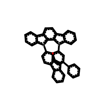 c1ccc(-c2cccc(-n3c4ccccc4c4ccc5c6ccccc6n(-c6ccc7c(c6)sc6ccccc67)c5c43)c2)cc1